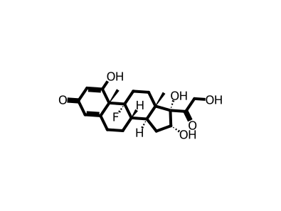 C[C@]12C(O)=CC(=O)C=C1CC[C@H]1[C@@H]3C[C@@H](O)[C@](O)(C(=O)CO)[C@@]3(C)CC[C@@]12F